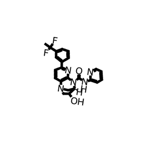 CC(F)(F)c1cccc(-c2ccc3c(n2)N(C(=O)Nc2ccccn2)[C@@H]2CN3CC2O)c1